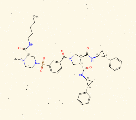 CCCCCCCCCCCCCCNC(=O)[C@@H]1CN(S(=O)(=O)c2cccc(C(=O)N3C[C@@H](C(=O)N[C@H]4C[C@@H]4c4ccccc4)[C@H](C(=O)N[C@H]4C[C@@H]4c4ccccc4)C3)c2)CCN1C(C)=O